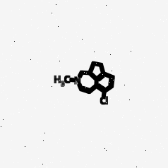 CN1C=Cc2c(Cl)ccc3c2C(CC3)C1